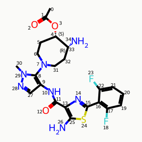 CC(=O)O[C@H]1CCN(c2c(NC(=O)c3nc(-c4c(F)cccc4F)sc3N)cnn2C)CC[C@H]1N